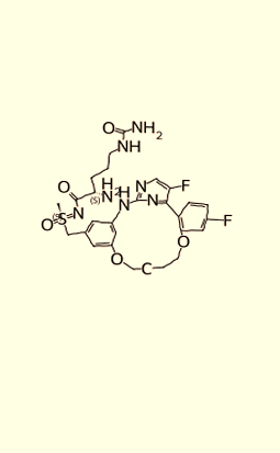 C[S@](=O)(Cc1cc2cc(c1)OCCCCOc1cc(F)ccc1-c1nc(ncc1F)N2)=NC(=O)[C@@H](N)CCCNC(N)=O